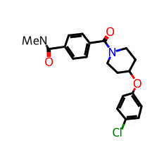 CNC(=O)c1ccc(C(=O)N2CCC(Oc3ccc(Cl)cc3)CC2)cc1